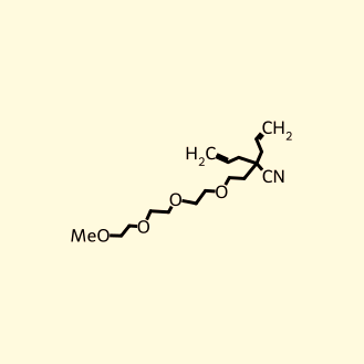 C=CCC(C#N)(CC=C)CCOCCOCCOCCOC